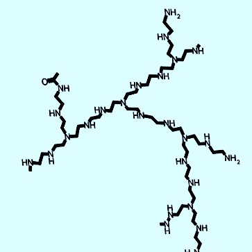 CNCCNCCN(CCNCCNCCN(CCNCCNCCN(CCNC)CCNCCN)CCNCCNCCN(CCNCCN)CCNCCNCCN(CCNCCN)CCNNC)CCNCCNC(C)=O